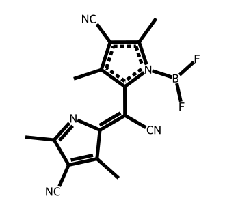 CC1=N/C(=C(/C#N)c2c(C)c(C#N)c(C)n2B(F)F)C(C)=C1C#N